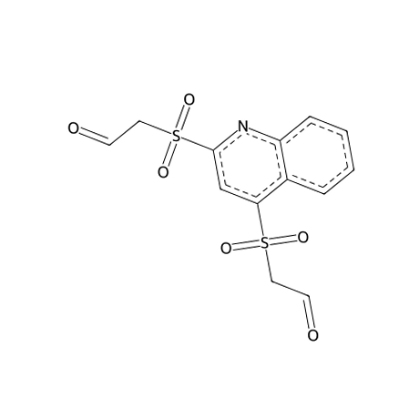 O=CCS(=O)(=O)c1cc(S(=O)(=O)CC=O)c2ccccc2n1